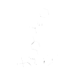 COc1ccc(Cn2cc(C(F)(F)F)nc2Cc2ccc(/C=C/C(=O)NOC3CCCCO3)cc2)cc1